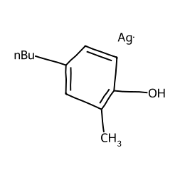 CCCCc1ccc(O)c(C)c1.[Ag]